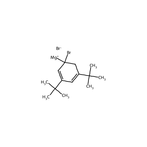 CC(C)(C)C1=C[C]([Mg+])(Br)CC(C(C)(C)C)=C1.[Br-]